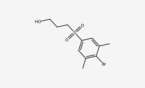 Cc1cc(S(=O)(=O)CCCO)cc(C)c1Br